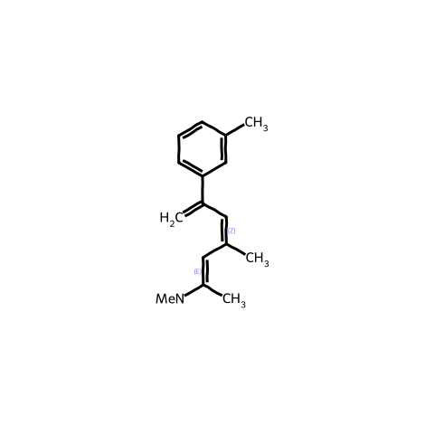 C=C(/C=C(C)\C=C(/C)NC)c1cccc(C)c1